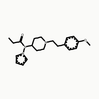 CCC(=O)N(C1CCN(CCc2ccc(OC)cc2)CC1)n1cccc1